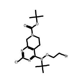 CC(C)(C)OC(=O)N1CCc2c(nc(Cl)nc2N(OCCBr)C(C)(C)C)C1